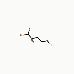 SCCC[SiH2]C(Br)Br